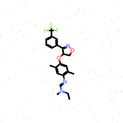 CCN(C)/C=N/c1cc(C)c(OC2CON=C2c2cccc(C(F)(F)F)c2)cc1C